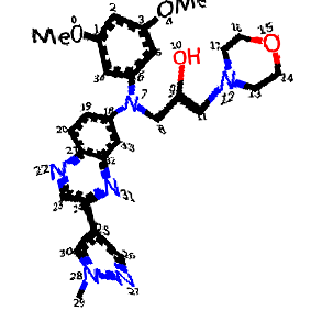 COc1cc(OC)cc(N(CC(O)CN2CCOCC2)c2ccc3ncc(-c4cnn(C)c4)nc3c2)c1